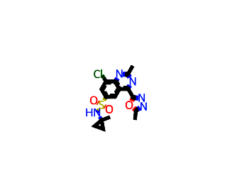 Cc1nc(-c2nnc(C)o2)c2cc(S(=O)(=O)NC3(C)CC3)cc(Cl)c2n1